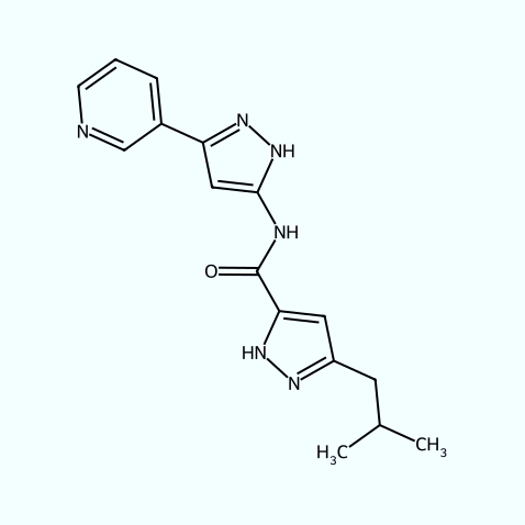 CC(C)Cc1cc(C(=O)Nc2cc(-c3cccnc3)n[nH]2)[nH]n1